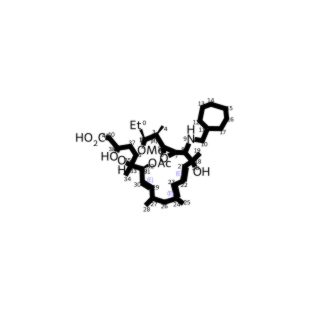 CC[C@H](OC)[C@@H](C)C1OC1C(NCC1CCCCCC1)C(C)(O)/C=C/C=C(\C)CC(C)/C=C/[C@H](OC(C)=O)C(C)(O)CCC(O)CC(=O)O